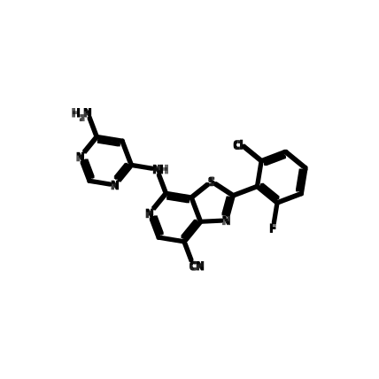 N#Cc1cnc(Nc2cc(N)ncn2)c2sc(-c3c(F)cccc3Cl)nc12